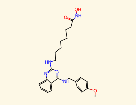 COc1ccc(CNc2nc(NCCCCCCCC(=O)NO)nc3ccccc23)cc1